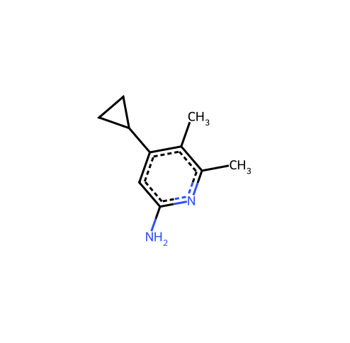 Cc1nc(N)cc(C2CC2)c1C